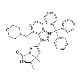 CC(C)[N+]1(C)C=C(c2nn(C(c3ccccc3)(c3ccccc3)c3ccccc3)c3ccnc(OC4CCOCC4)c23)C=C1C(=O)O